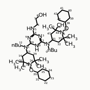 CCCCN(C1=NC(NCCO)=NC(N(CCCC)C2CC(C)(C)N(OC3CCCCC3)C(C)(C)C2)N1)C1CC(C)(C)N(OC2CCCCC2)C(C)(C)C1